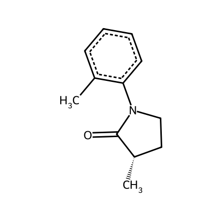 Cc1ccccc1N1CC[C@H](C)C1=O